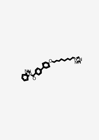 O=C(c1ccc(-c2ccc(OCCCCCCCCn3cnnn3)cc2)cc1)n1nnc2ccccc21